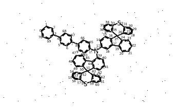 c1ccc(-c2ccc(-c3ccc(N(c4ccc5c(c4)-c4ccccc4C54c5ccccc5Sc5ccccc54)c4cccc5c4-c4ccccc4C54c5ccccc5Sc5ccccc54)cc3)cc2)cc1